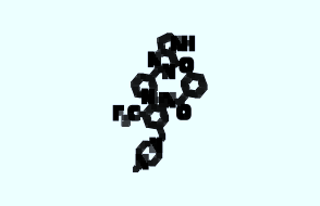 CN1CCN(Cc2cc(NC(=O)c3cccc(Oc4nc(-c5cccnc5)nc5cc[nH]c45)c3)cc(C(F)(F)F)c2)CC1